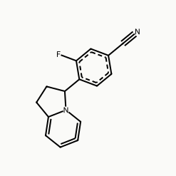 N#Cc1ccc(C2CCC3=CC=C=CN32)c(F)c1